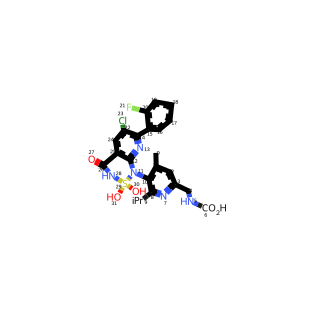 Cc1cc(CNC(=O)O)nc(C(C)C)c1N1c2nc(-c3ccccc3F)c(Cl)cc2C(=O)NS1(O)O